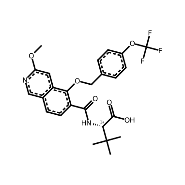 COc1cc2c(OCc3ccc(OC(F)(F)F)cc3)c(C(=O)N[C@H](C(=O)O)C(C)(C)C)ccc2cn1